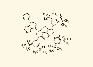 C[Si](C)(C)c1cc(-c2cc(-c3cc([Si](C)(C)C)cc([Si](C)(C)C)c3)c3ccc4c(-c5ccc(-c6ccccc6)c6ccccc56)cc(-c5cc([Si](C)(C)C)cc([Si](C)(C)C)c5)c5ccc2c3c54)cc([Si](C)(C)C)c1